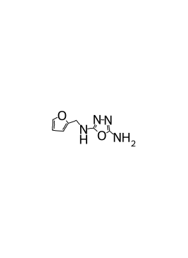 Nc1nnc(NCc2ccco2)o1